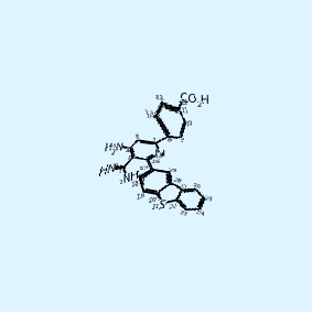 N=C(N)c1c(N)cc(-c2ccc(C(=O)O)cc2)nc1-c1ccc2sc3ccccc3c2c1